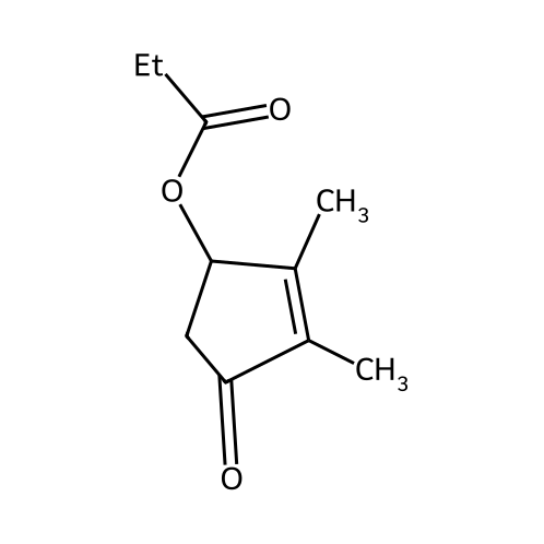 CCC(=O)OC1CC(=O)C(C)=C1C